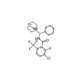 O=C(NC(c1ccccc1)C12CCC(CC1)CN2)c1c(C(F)(F)F)ccc(Cl)c1F